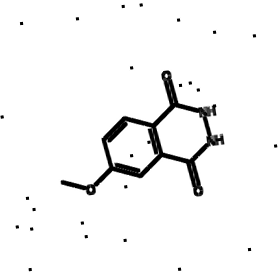 COc1ccc2c(=O)[nH][nH]c(=O)c2c1